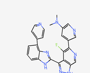 CN(C)c1cncc(-c2ncc3[nH]nc(-c4nc5c(-c6ccncc6)cccc5[nH]4)c3c2F)c1